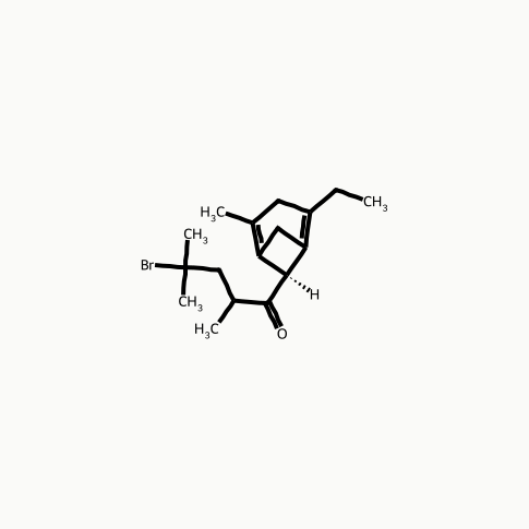 CCC1=C2CC(=C(C)C1)[C@@H]2C(=O)C(C)CC(C)(C)Br